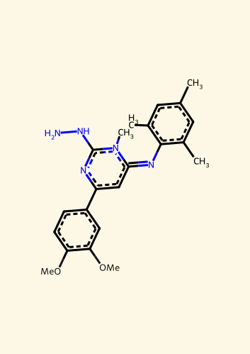 COc1ccc(-c2c/c(=N/c3c(C)cc(C)cc3C)n(C)c(NN)n2)cc1OC